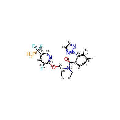 CCN(C(=O)c1ccc(C)c(C)c1-n1nccn1)[C@@H](C)COc1ncc(C(F)(F)P)cc1F